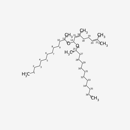 CCCCCCCCCCCC(C)OC(C=C(C)CCC=C(C)C)OC(C)CCCCCCCCCCC